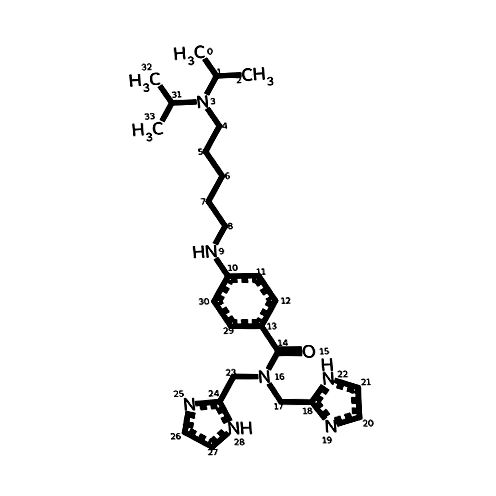 CC(C)N(CCCCCNc1ccc(C(=O)N(Cc2ncc[nH]2)Cc2ncc[nH]2)cc1)C(C)C